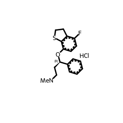 CNCC[C@@H](Oc1ccc(F)c2c1SCC2)c1ccccc1.Cl